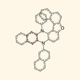 c1ccc(N(c2ccc3ccccc3c2)c2ccc3oc4ccc5ccccc5c4c3c2N(c2ccccc2)c2ccc3ccccc3c2)cc1